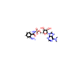 CN(C)c1ncnc2c1ncn2[C@@H]1O[C@H](COS(=O)(=O)NC(=O)c2ccccc2N)[C@@H](O)[C@H]1O